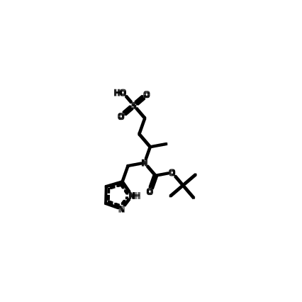 CC(CCS(=O)(=O)O)N(Cc1ccn[nH]1)C(=O)OC(C)(C)C